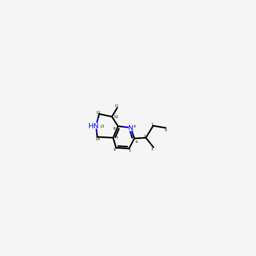 CCC(C)c1ccc2c(n1)C(C)CNC2